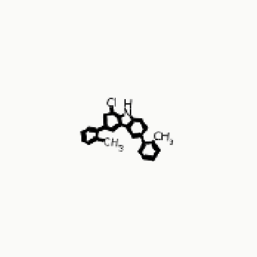 Cc1ccccc1-c1ccc2[nH]c3c(Cl)cc(-c4ccccc4C)cc3c2c1